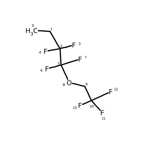 CCC(F)(F)C(F)(F)OCC(F)(F)F